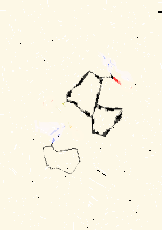 NC(=O)c1ccc(S(=O)(=O)NC2CCCCC2)c2ccccc12